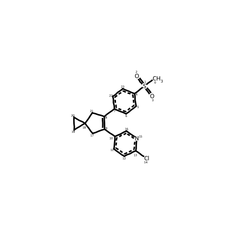 CS(=O)(=O)c1ccc(C2=C(c3ccc(Cl)nc3)CC3(CC3)C2)cc1